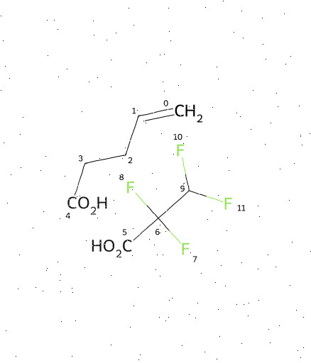 C=CCCC(=O)O.O=C(O)C(F)(F)C(F)F